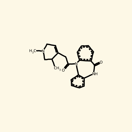 CC1CN(C)CC=C1CC(=O)N1c2ccccc2NC(=O)c2ccccc21